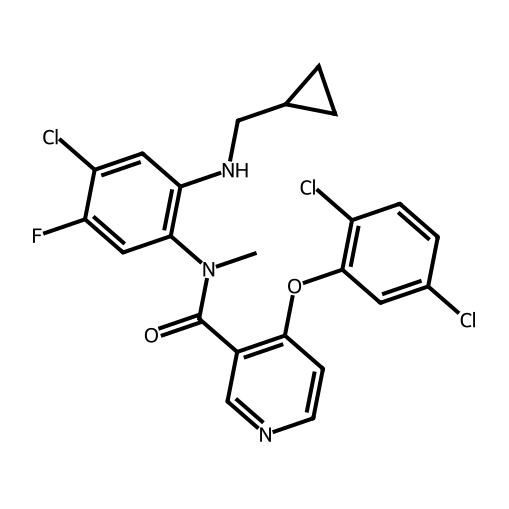 CN(C(=O)c1cnccc1Oc1cc(Cl)ccc1Cl)c1cc(F)c(Cl)cc1NCC1CC1